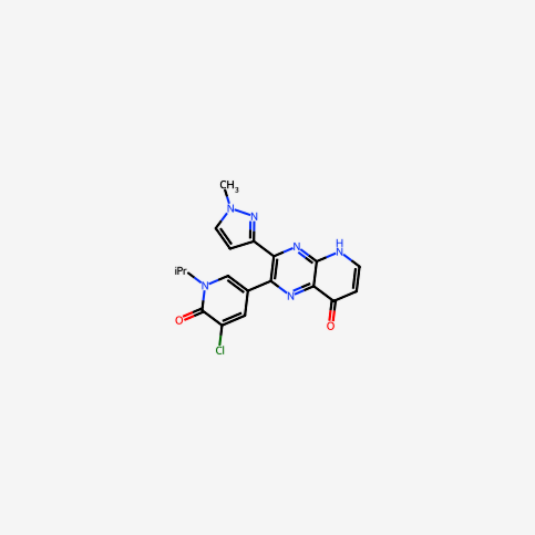 CC(C)n1cc(-c2nc3c(=O)cc[nH]c3nc2-c2ccn(C)n2)cc(Cl)c1=O